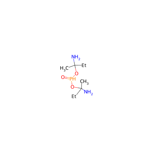 CCC(C)(N)O[PH](=O)OC(C)(N)CC